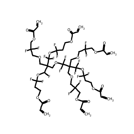 C=CC(=O)OCCC(F)(F)OC(F)C(COCC(F)(F)COC(=O)C=C)(COC(F)(F)C(COCC(F)(F)COC(=O)C=C)(COCC(F)(F)COC(=O)C=C)C(F)(F)OC(F)(F)CCOC(=O)C=C)C(F)(F)OC(F)(F)CCOC(=O)C=C